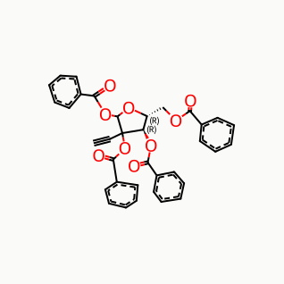 C#CC1(OC(=O)c2ccccc2)C(OC(=O)c2ccccc2)O[C@H](COC(=O)c2ccccc2)[C@H]1OC(=O)c1ccccc1